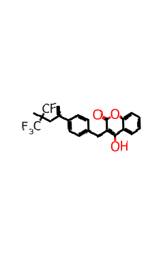 C=C(CC(C)(C(F)(F)F)C(F)(F)F)c1ccc(Cc2c(O)c3ccccc3oc2=O)cc1